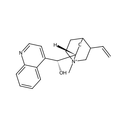 C=CC1C[N+]2(C)CCC1C[C@H]2[C@H](O)c1ccnc2ccccc12